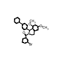 COc1cc2c(c(OC)c1)C(c1ccc(-c3ccccc3)cc1)N(C(=O)c1cccc(Br)c1)CC2